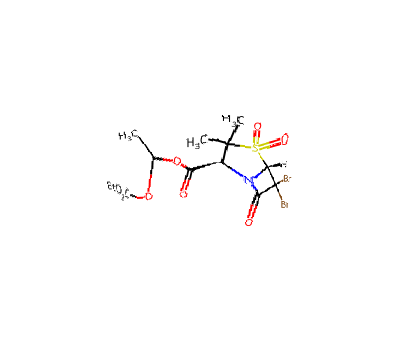 CCOC(=O)OC(C)OC(=O)[C@@H]1N2C(=O)C(Br)(Br)[C@H]2S(=O)(=O)C1(C)C